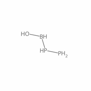 OBPP